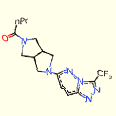 CCCC(=O)N1CC2CN(c3ccc4nnc(C(F)(F)F)n4n3)CC2C1